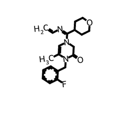 C=C/N=C(/C1CCOCC1)N1C=C(C)N(Cc2ccccc2F)C(=O)C1